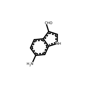 Nc1ccc2c(C=O)c[nH]c2c1